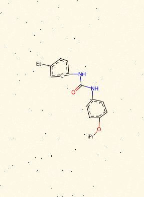 CCc1ccc(NC(=O)Nc2ccc(OC(C)C)cc2)cc1